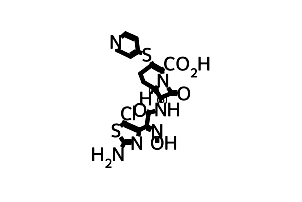 Nc1nc(C(=NO)C(=O)N[C@@H]2C(=O)N3C(C(=O)O)=C(Sc4ccncc4)CC[C@H]23)c(Cl)s1